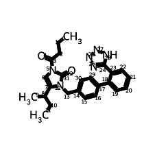 CCCC(=O)n1cc(C(C)CC)n(Cc2ccc(-c3ccccc3-c3nnn[nH]3)cc2)c1=O